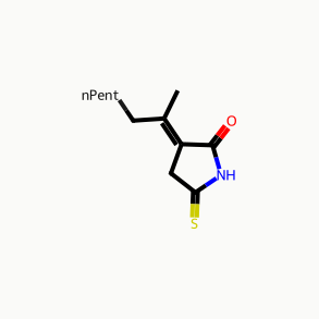 CCCCCCC(C)=C1CC(=S)NC1=O